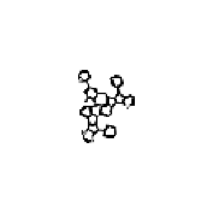 Cc1cc(-c2ccccn2)cc2c1B(c1cccc3c1CC1=C3c3nccnc3C1c1ccccc1)c1cccc3c1C(C2)C1=C3c2ncccc2C1c1ccccc1